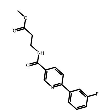 COC(=O)CCNC(=O)c1ccc(-c2cccc(F)c2)nc1